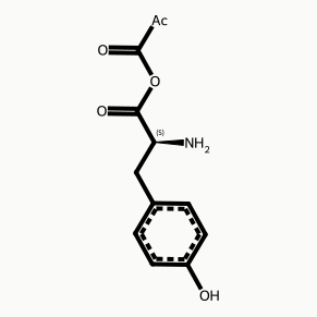 CC(=O)C(=O)OC(=O)[C@@H](N)Cc1ccc(O)cc1